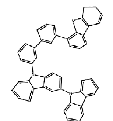 C1=Cc2c(sc3c(-c4cccc(-c5cccc(-n6c7ccccc7c7cc(-n8c9ccccc9c9ccccc98)ccc76)c5)c4)cccc23)CC1